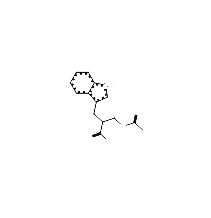 CC(=O)SCC(Cc1c[nH]c2ccccc12)C(=O)O